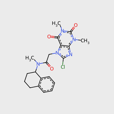 CN(C(=O)Cn1c(Cl)nc2c1c(=O)n(C)c(=O)n2C)C1CCCc2ccccc21